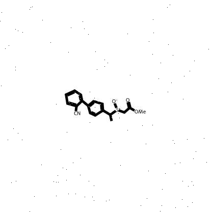 COC(=O)C[S+]([O-])C(C)c1ccc(-c2ccccc2C#N)cc1